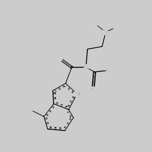 CN(C)CCN(C(=N)N)C(=O)c1cc2c(Cl)cccc2[nH]1.Cl.Cl